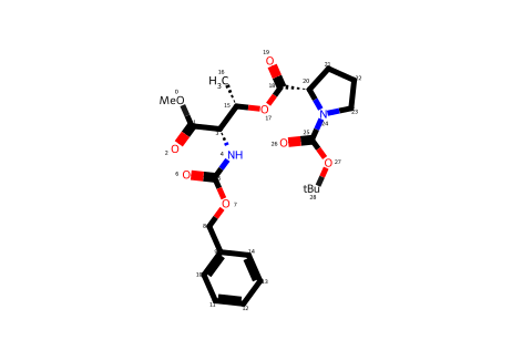 COC(=O)[C@@H](NC(=O)OCc1ccccc1)[C@H](C)OC(=O)[C@@H]1CCCN1C(=O)OC(C)(C)C